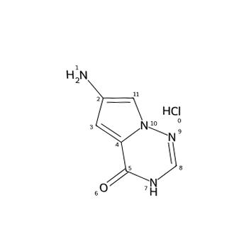 Cl.Nc1cc2c(=O)[nH]cnn2c1